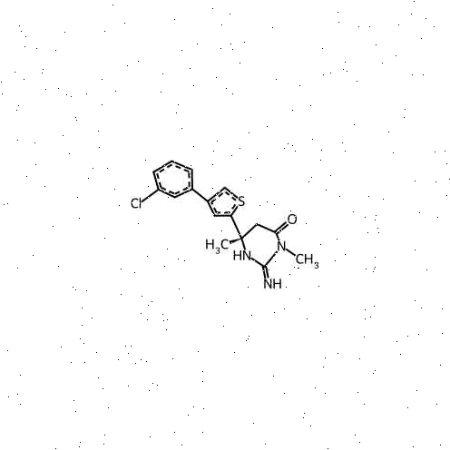 CN1C(=N)N[C@](C)(c2cc(-c3cccc(Cl)c3)cs2)CC1=O